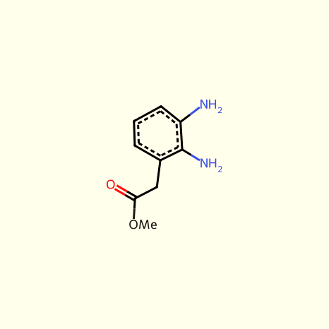 COC(=O)Cc1cccc(N)c1N